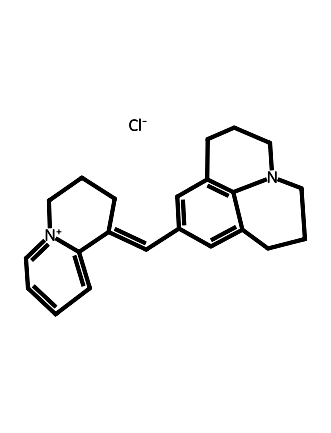 C(=C1CCC[n+]2ccccc21)c1cc2c3c(c1)CCCN3CCC2.[Cl-]